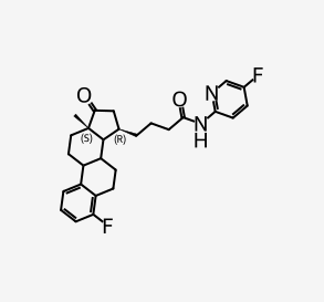 C[C@]12CCC3c4cccc(F)c4CCC3C1[C@H](CCCC(=O)Nc1ccc(F)cn1)CC2=O